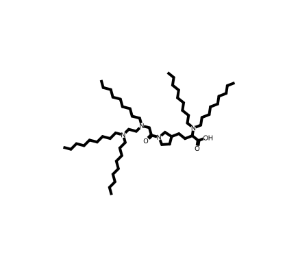 CCCCCCCCCN(CCCCCCCCC)CCN(CCCCCCCCC)CC(=O)N1CCC(CCC(C(=O)O)N(CCCCCCCCC)CCCCCCCCC)C1